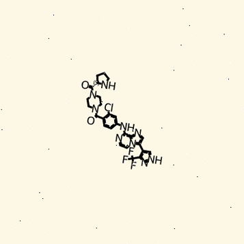 O=C(c1ccc(Nc2nccn3c(-c4c[nH]nc4C(F)(F)F)cnc23)cc1Cl)N1CCN(C(=O)[C@@H]2CCCN2)CC1